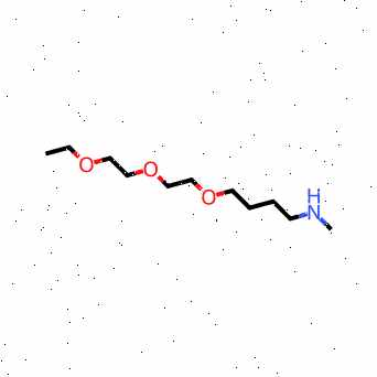 CCOCCOCCOCCCCNC